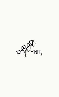 CC(F)(F)C(OCC(=O)[C@H](CCCCN)NC(=O)C1CCCC1)C(F)(F)F